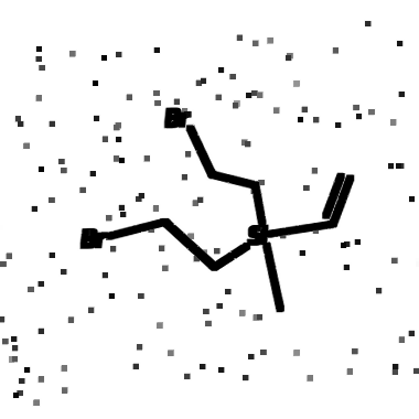 C=C[Si](C)(CCBr)CCBr